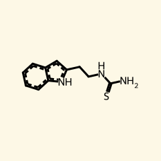 NC(=S)NCCc1cc2ccccc2[nH]1